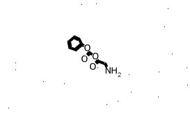 NCC(=O)OC(=O)Oc1ccccc1